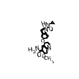 COc1cc2nccc(Oc3ccc4c(ccn4C(=O)NC4CC4)c3)c2cc1C(N)=O